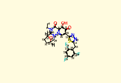 CCN1C(=O)c2c(O)c(=O)c(-c3nnc(Cc4c(F)cc(F)cc4F)s3)cn2N2C[C@H]3CC[C@H](O3)[C@H]12